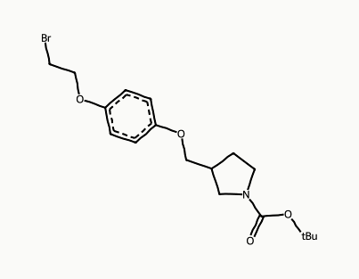 CC(C)(C)OC(=O)N1CCC(COc2ccc(OCCBr)cc2)C1